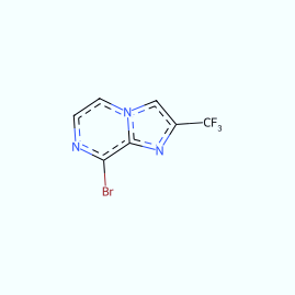 FC(F)(F)c1cn2ccnc(Br)c2n1